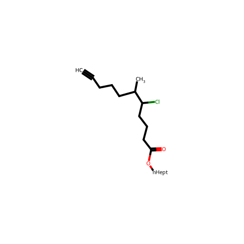 C#CCCCC(C)C(Cl)CCCC(=O)OCCCCCCC